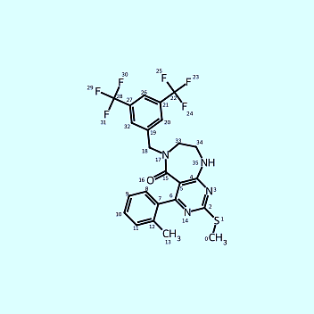 CSc1nc2c(c(-c3ccccc3C)n1)C(=O)N(Cc1cc(C(F)(F)F)cc(C(F)(F)F)c1)CCN2